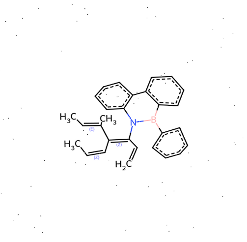 C=C/C(=C(\C=C/C)C(/C)=C/C)N1B(c2ccccc2)c2ccccc2-c2ccccc21